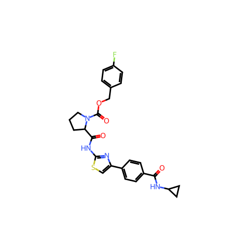 O=C(NC1CC1)c1ccc(-c2csc(NC(=O)C3CCCN3C(=O)OCc3ccc(F)cc3)n2)cc1